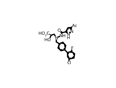 CC(=O)c1cc(C(=O)NN(Cc2ccc(-c3cc(Cl)ccc3F)cc2)C[C@@H](O)C(=O)O)[nH]n1